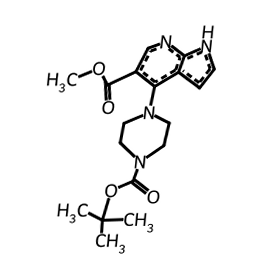 COC(=O)c1cnc2[nH]ccc2c1N1CCN(C(=O)OC(C)(C)C)CC1